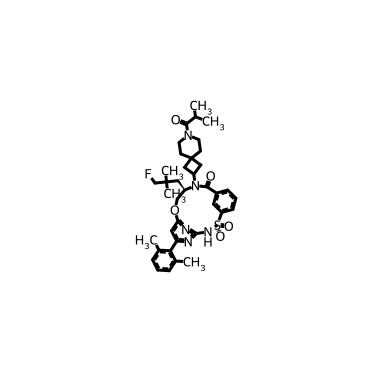 Cc1cccc(C)c1-c1cc2nc(n1)NS(=O)(=O)c1cccc(c1)C(=O)N(C1CC3(CCN(C(=O)C(C)C)CC3)C1)[C@H](CC(C)(C)CF)CO2